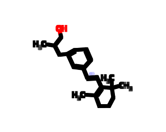 CC1=C(/C=C/c2cccc(CC(C)CO)c2)C(C)(C)CCC1